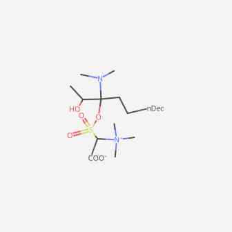 CCCCCCCCCCCCC(OS(=O)(=O)C(C(=O)[O-])[N+](C)(C)C)(C(C)O)N(C)C